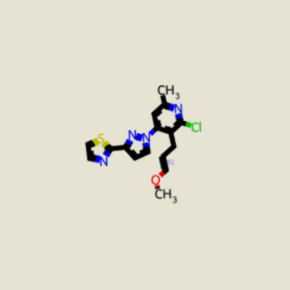 CO/C=C/Cc1c(-n2ccc(-c3nccs3)n2)cc(C)nc1Cl